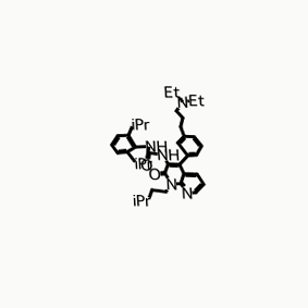 CCN(CC)CCCc1cccc(-c2c(NC(=O)Nc3c(C(C)C)cccc3C(C)C)c(=O)n(CCC(C)C)c3ncccc23)c1